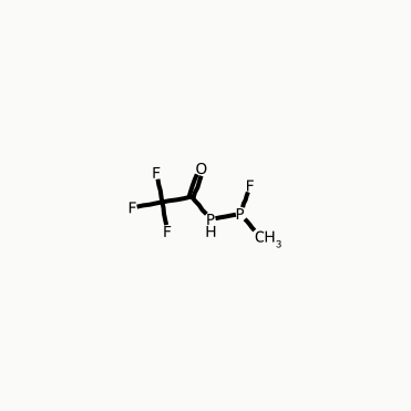 CP(F)PC(=O)C(F)(F)F